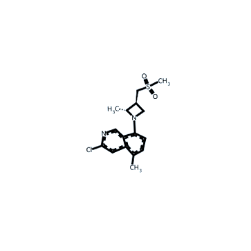 Cc1ccc(N2C[C@H](CS(C)(=O)=O)[C@H]2C)c2cnc(Cl)cc12